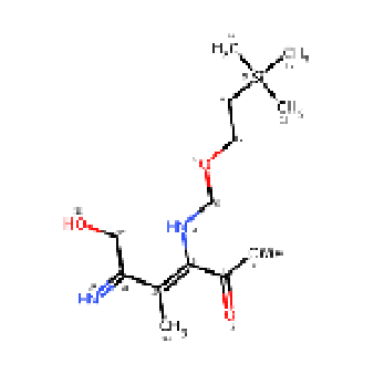 COC(=O)/C(NCOCC[Si](C)(C)C)=C(\C)C(=N)CO